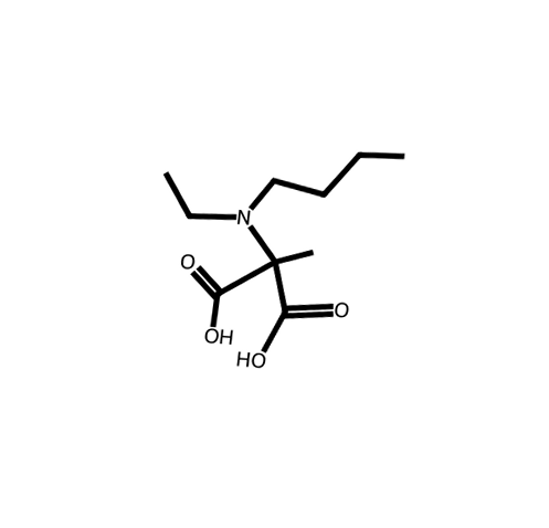 CCCCN(CC)C(C)(C(=O)O)C(=O)O